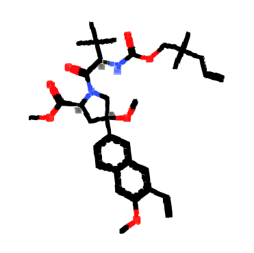 C=CCC(C)(C)COC(=O)N[C@H](C(=O)N1C[C@](OC)(c2ccc3cc(OC)c(C=C)cc3c2)C[C@H]1C(=O)OC)C(C)(C)C